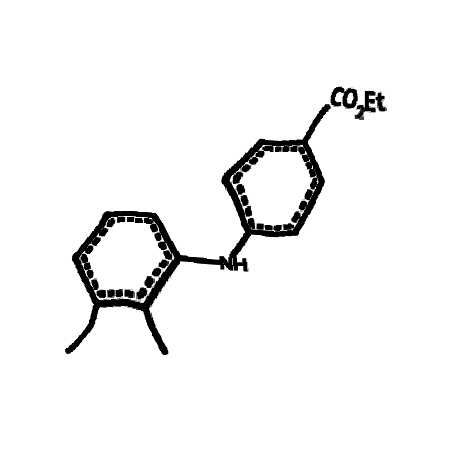 CCOC(=O)c1ccc(Nc2cccc(C)c2C)cc1